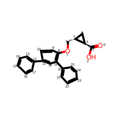 O=C(O)[C@@H]1C[C@H]1COc1ccc(-c2ccccc2)cc1-c1ccccc1